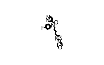 O=C(c1ccnnc1)N(CCCCc1csc(N2CCOCC2)n1)c1ccc(F)cc1